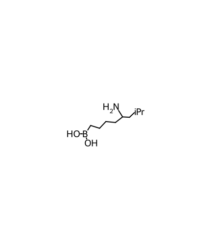 CC(C)CC(N)CCCCB(O)O